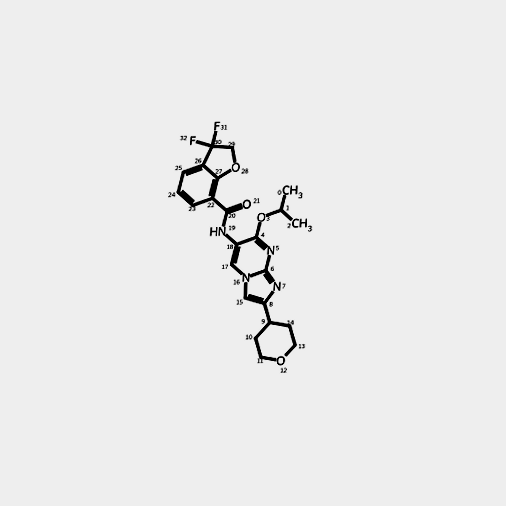 CC(C)Oc1nc2nc(C3CCOCC3)cn2cc1NC(=O)c1cccc2c1OCC2(F)F